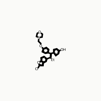 CCC(=C(c1ccc(O)cc1)c1ccc(OCCN2CCOCC2)cc1)c1ccc2oc(Cl)cc2c1